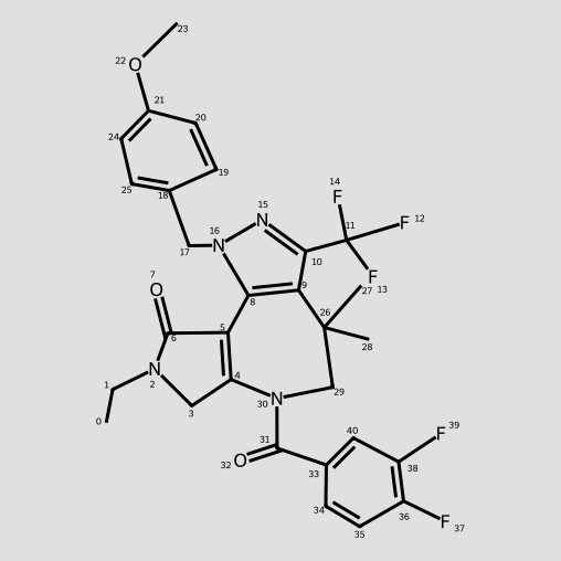 CCN1CC2=C(C1=O)c1c(c(C(F)(F)F)nn1Cc1ccc(OC)cc1)C(C)(C)CN2C(=O)c1ccc(F)c(F)c1